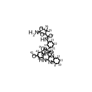 COc1cc(Nc2nc3ccccc3nc2NS(=O)(=O)c2cccc(NC(=O)C(OC(N)=O)C(C)(C)C)c2)cc(OC)c1